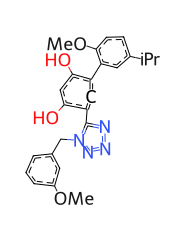 COc1cccc(Cn2nnnc2-c2cc(-c3cc(C(C)C)ccc3OC)c(O)cc2O)c1